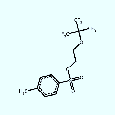 Cc1ccc(S(=O)(=O)OCCOC(C(F)(F)F)(C(F)(F)F)C(F)(F)F)cc1